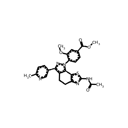 COC(=O)c1ccc(-n2nc(-c3ccc(C)nc3)c3c2-c2sc(NC(C)=O)nc2CC3)c(OC)c1